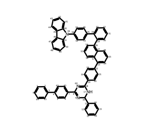 c1ccc(-c2ccc(C3=NC(c4ccccc4)NC(c4ccc(-c5cccc6c(-c7ccccc7-c7ccc(-n8c9ccccc9c9ccccc98)cc7)cccc56)cc4)=N3)cc2)cc1